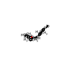 CC(C(=O)O)C1=CC2=CCC3C(C)(C(=O)OCC(O)COc4ccc(C(C)(C)c5ccc(OCC6CO6)cc5)cc4)CCCC3(C)C2CC1